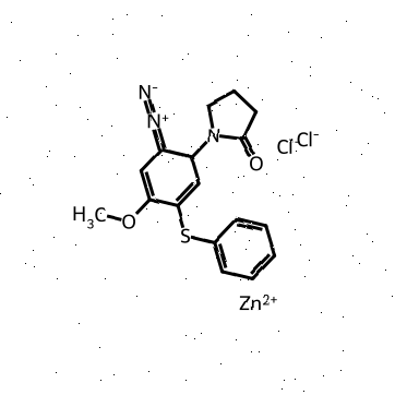 COC1=CC(=[N+]=[N-])C(N2CCCC2=O)C=C1Sc1ccccc1.[Cl-].[Cl-].[Zn+2]